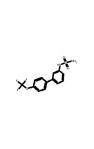 NS(=O)(=O)Nc1cccc(-c2ccc(SC(F)(F)F)cc2)c1